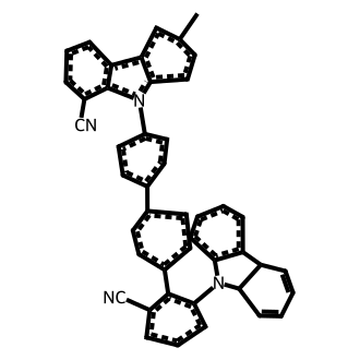 Cc1ccc2c(c1)c1cccc(C#N)c1n2-c1ccc(-c2ccc(-c3c(C#N)cccc3N3c4ccccc4C4C=CC=CC43)cc2)cc1